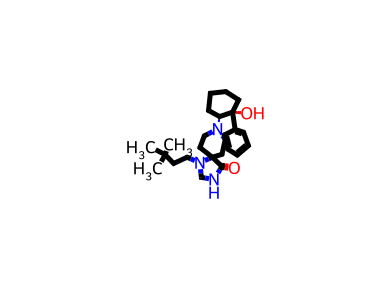 CC(C)(C)CCN1CNC(=O)C12CCN([C@@H]1CCCC[C@]1(O)c1ccccc1)CC2